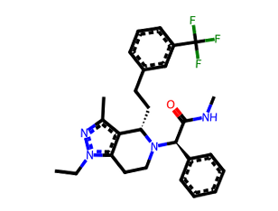 CCn1nc(C)c2c1CCN([C@@H](C(=O)NC)c1ccccc1)[C@H]2CCc1cccc(C(F)(F)F)c1